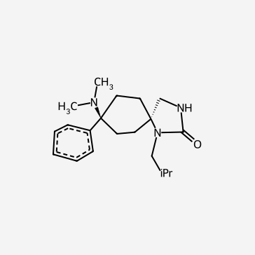 CC(C)CN1C(=O)NC[C@]12CC[C@](c1ccccc1)(N(C)C)CC2